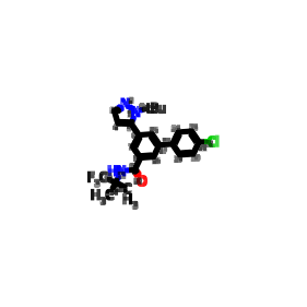 CC(C)(C)n1nccc1-c1cc(C(=O)NC(C)(C)C(F)(F)F)cc(-c2ccc(Cl)cc2)c1